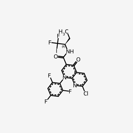 CC[C@@H](NC(=O)c1cn(-c2c(F)cc(F)cc2F)c2nc(Cl)ccc2c1=O)C(F)(F)I